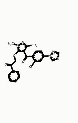 Cc1nn(C)c(OCC(=O)c2ccccc2)c1C(=O)c1ccc(-n2cncn2)cc1Cl